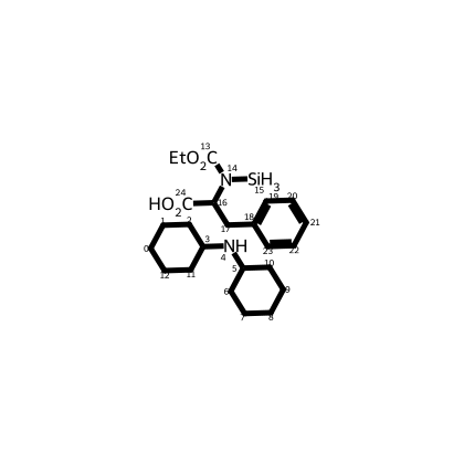 C1CCC(NC2CCCCC2)CC1.CCOC(=O)N([SiH3])C(Cc1ccccc1)C(=O)O